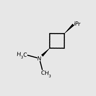 CC(C)[C@H]1C[C@@H](N(C)C)C1